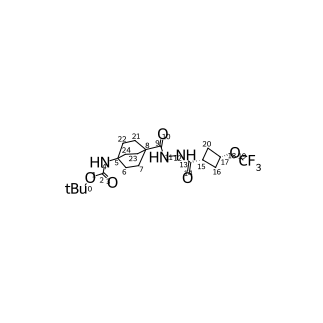 CC(C)(C)OC(=O)NC12CCC(C(=O)NNC(=O)[C@H]3C[C@@H](OC(F)(F)F)C3)(CC1)CC2